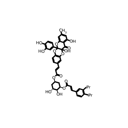 Cc1cc(O)c2c(c1)OC1(c3ccc(O)c(O)c3)Oc3ccc(/C=C/C(=O)O[C@@H]4C[C@@H](O)[C@H](O)[C@H](OC(=O)/C=C/c5ccc(C(C)C)c(C(C)C)c5)C4)cc3OC1(O)C2=O